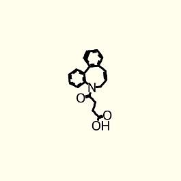 O=C(O)CCC(=O)N1CC=Cc2ccc#cc2-c2ccccc21